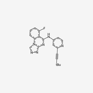 CC(C)(C)C#Cc1cc(Nc2nc3nncn3c3cccc(F)c23)ccn1